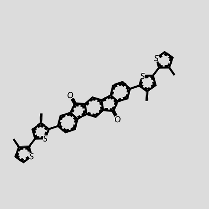 Cc1cc(-c2sccc2C)sc1-c1ccc2c(c1)c(=O)c1cc3c(cc12)c(=O)c1cc(-c2sc(-c4sccc4C)cc2C)ccc13